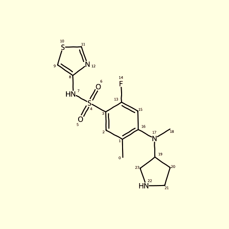 Cc1cc(S(=O)(=O)Nc2cscn2)c(F)cc1N(C)C1CCNC1